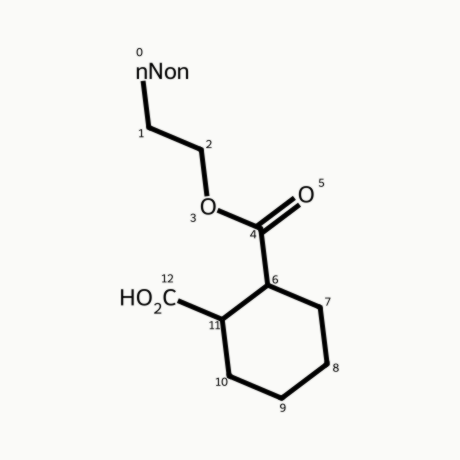 CCCCCCCCCCCOC(=O)C1CCCCC1C(=O)O